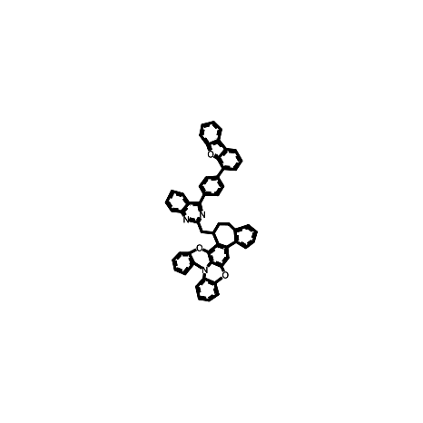 c1ccc2c(c1)CCC(Cc1nc(-c3ccc(-c4cccc5c4oc4ccccc45)cc3)c3ccccc3n1)c1c-2cc2c3c1Oc1ccccc1N3c1ccccc1O2